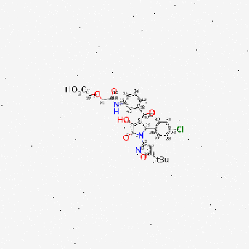 CC(C)(C)c1cc(N2C(=O)C(O)=C(C(=O)c3cccc(NC(=O)COCC(=O)O)c3)C2c2ccc(Cl)cc2)no1